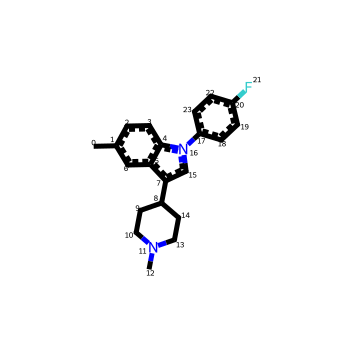 Cc1ccc2c(c1)c(C1CCN(C)CC1)cn2-c1ccc(F)cc1